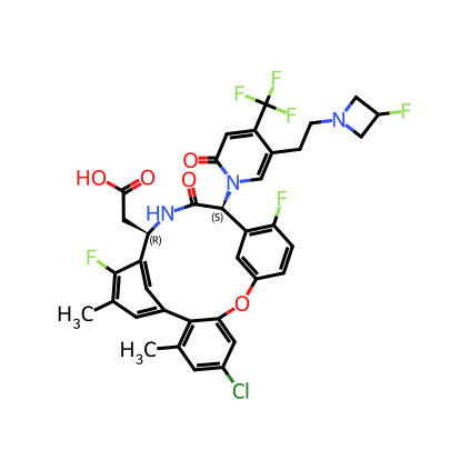 Cc1cc2cc(c1F)[C@@H](CC(=O)O)NC(=O)[C@@H](n1cc(CCN3CC(F)C3)c(C(F)(F)F)cc1=O)c1cc(ccc1F)Oc1cc(Cl)cc(C)c1-2